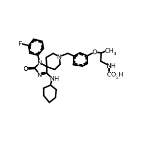 CC(CNC(=O)O)Oc1cccc(CN2CCC3(CC2)C(NC2CCCCC2)=NC(=O)N3c2cccc(F)c2)c1